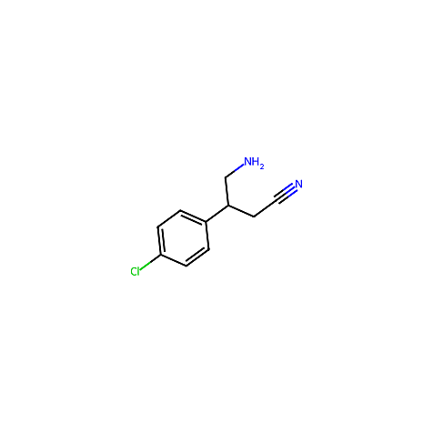 N#CCC(CN)c1ccc(Cl)cc1